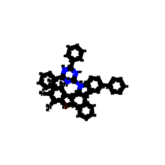 [2H]c1c([2H])c([2H])c2c(sc3c4ccccc4c4c5cc(-c6ccccc6)ccc5n(-c5nc(-c6ccccc6)nc(-c6ccccc6)n5)c4c32)c1[2H]